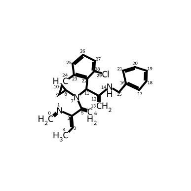 C=N/C(=C\C)C(=C)N(C1CC1)C(C(=C)NCc1ccccc1)c1c(C)cccc1Cl